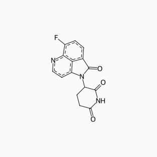 O=C1CCC(N2C(=O)c3ccc(F)c4nccc2c34)C(=O)N1